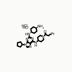 CC(C)CC(=O)N1CCC(Nc2nc(N[C@H]3CC[C@H](N)CC3)nc3c2ncn3C2CCCC2)CC1.Cl.Cl